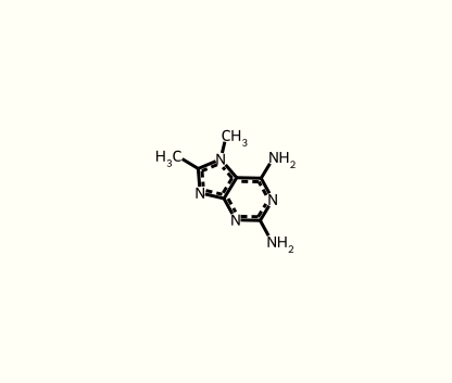 Cc1nc2nc(N)nc(N)c2n1C